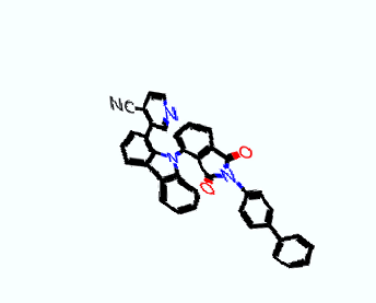 N#Cc1ccncc1-c1cccc2c3ccccc3n(-c3cccc4c3C(=O)N(c3ccc(-c5ccccc5)cc3)C4=O)c12